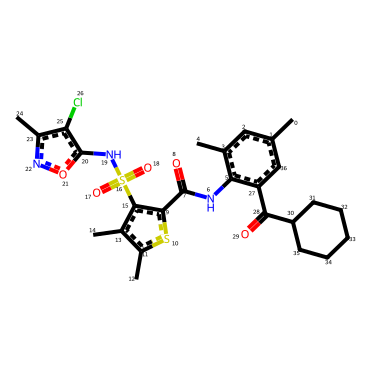 Cc1cc(C)c(NC(=O)c2sc(C)c(C)c2S(=O)(=O)Nc2onc(C)c2Cl)c(C(=O)C2CCCCC2)c1